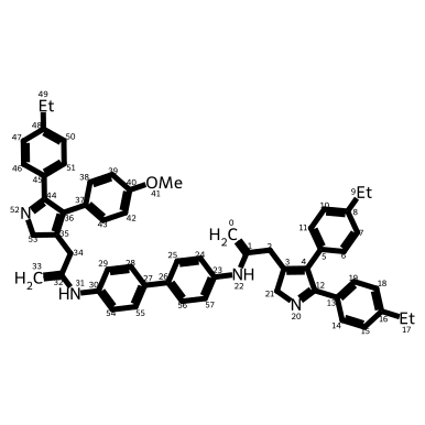 C=C(CC1=C(c2ccc(CC)cc2)C(c2ccc(CC)cc2)=NC1)Nc1ccc(-c2ccc(NC(=C)CC3=C(c4ccc(OC)cc4)C(c4ccc(CC)cc4)=NC3)cc2)cc1